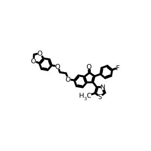 Cc1scnc1C1=C(c2ccc(F)cc2)C(=O)c2cc(OCCOc3ccc4c(c3)OCO4)ccc21